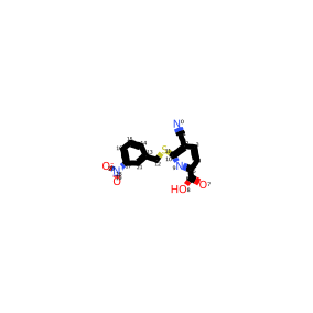 N#Cc1ccc(C(=O)O)nc1SCc1cccc([N+](=O)[O-])c1